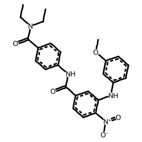 CCN(CC)C(=O)c1ccc(NC(=O)c2ccc([N+](=O)[O-])c(Nc3cccc(OC)c3)c2)cc1